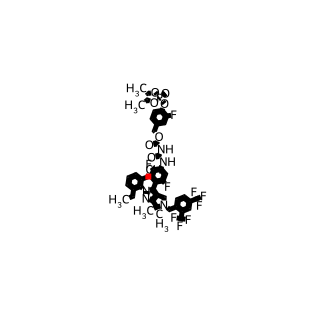 CCOP(=O)(OCC)Oc1ccc(COC(=O)NC(=O)Nc2cc(F)c(-c3c4c(nn3-c3c(CC)cccc3CC)C(C)(C)N(Cc3ccc(C(F)(F)F)cc3C(F)(F)F)C4)cc2F)cc1F